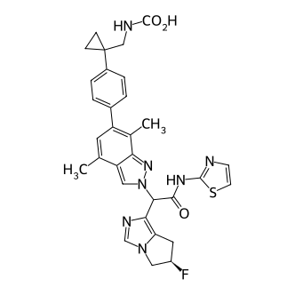 Cc1cc(-c2ccc(C3(CNC(=O)O)CC3)cc2)c(C)c2nn(C(C(=O)Nc3nccs3)c3ncn4c3C[C@@H](F)C4)cc12